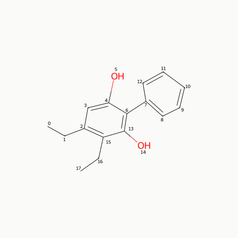 CCc1cc(O)c(-c2ccccc2)c(O)c1CC